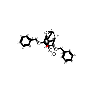 O=C=NC1C2OC3OC1C(OCc1ccccc1)C(O3)C2OCc1ccccc1